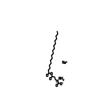 CCCCCCCCCCCCCCCCCC(=O)OC(=O)CC[C@H](N)C(=O)[O-].[Na+]